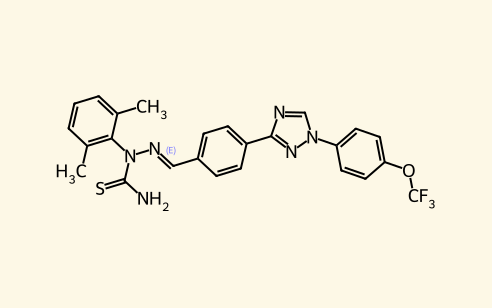 Cc1cccc(C)c1N(/N=C/c1ccc(-c2ncn(-c3ccc(OC(F)(F)F)cc3)n2)cc1)C(N)=S